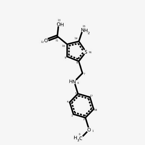 COc1ccc(NCc2cc(C(=O)O)c(N)s2)cc1